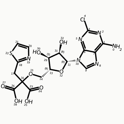 Nc1nc(Cl)nc2c1ncn2[C@@H]1O[C@H](COC(Cc2nccs2)(C(=O)O)C(=O)O)[C@@H](O)[C@H]1O